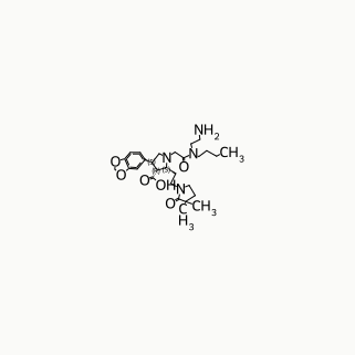 CCCCN(CCN)C(=O)CN1C[C@H](c2ccc3c(c2)OCO3)[C@@H](C(=O)O)[C@@H]1CCN1CCC(C)(C)C1=O